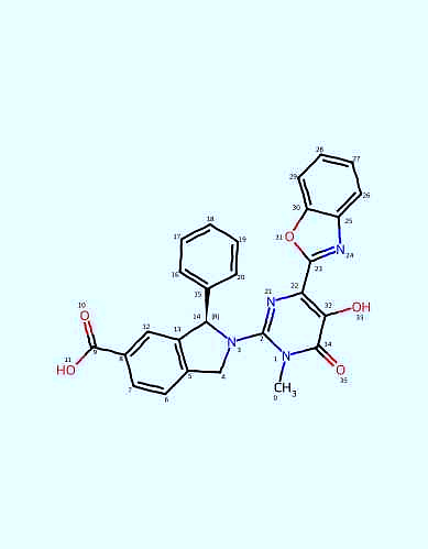 Cn1c(N2Cc3ccc(C(=O)O)cc3[C@H]2c2ccccc2)nc(-c2nc3ccccc3o2)c(O)c1=O